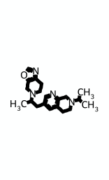 CC(C)N1CCc2cc(CC(C)N3CCc4ncoc4C3)cnc2C1